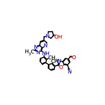 Cc1nc(Nc2cccc(-c3cccc(-c4nc5cc(C=O)cc(C#N)c5o4)c3C)c2C)c2ncc(CN3CC[C@@H](O)C3)cc2n1